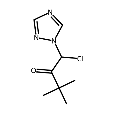 CC(C)(C)C(=O)C(Cl)n1cncn1